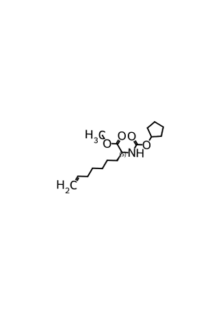 C=CCCCCC[C@H](NC(=O)OC1CCCC1)C(=O)OC